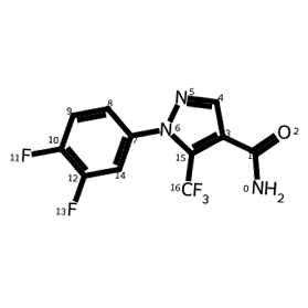 NC(=O)c1cnn(-c2ccc(F)c(F)c2)c1C(F)(F)F